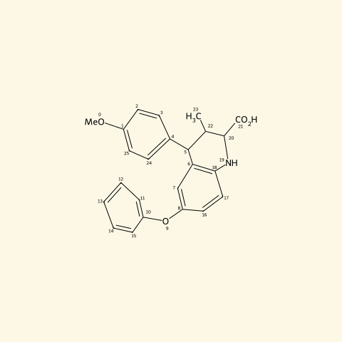 COc1ccc(C2c3cc(Oc4ccccc4)ccc3NC(C(=O)O)C2C)cc1